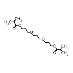 C=C(C)C(=O)OCCCOCCCOCCCOC(=O)C(=C)C